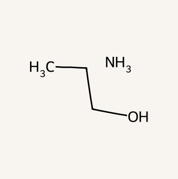 CCCO.N